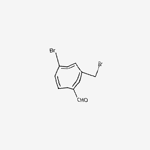 O=Cc1ccc(Br)cc1CBr